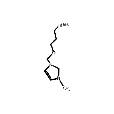 CCCCCCCCCOCN1C=CN(C)C1